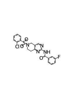 O=C(Nc1ncc2c(n1)CCN(S(=O)(=O)c1ccccc1Cl)C2)c1cccc(F)c1